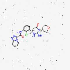 C[C@@H]1C[C@H](N2C(=N)N[C@](C)(c3cccc(NC(=O)c4nnc5ccccn45)c3Cl)CC2=O)CCO1